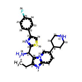 CCc1nc2ccc(C3CCNCC3)cn2c1C(N)c1nc(-c2ccc(F)cc2)cs1